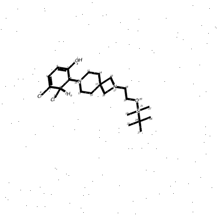 [2H]C1(Cl)C(Cl)=CC=C(O)C1N1CCC2(CC1)CN(CCO[Si](C)(C)C(C)(C)C)C2